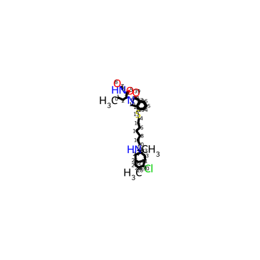 CCCC(C(=O)NC=O)N1Cc2c(SCCCCCCCNC3(C)CC4CC(C)C(Cl)C(C4)C3)cccc2C1=O